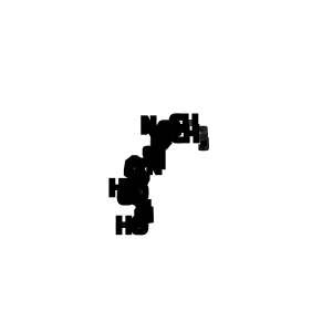 CC(C)Oc1ccc(-c2nnc(-c3cccc4c3CC[C@H]4NS(=O)(=O)CCN3CCC(O)C3)s2)cc1C#N